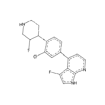 Fc1c[nH]c2nccc(-c3ccc(C4CCNCC4F)c(Cl)c3)c12